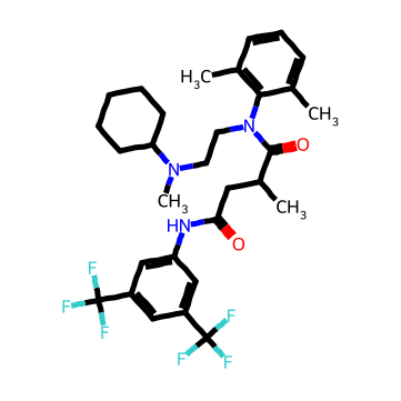 Cc1cccc(C)c1N(CCN(C)C1CCCCC1)C(=O)C(C)CC(=O)Nc1cc(C(F)(F)F)cc(C(F)(F)F)c1